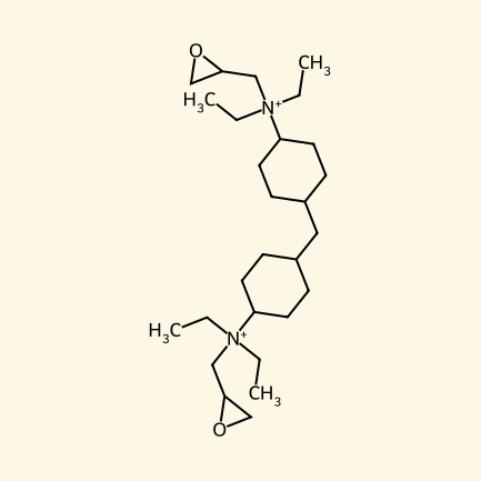 CC[N+](CC)(CC1CO1)C1CCC(CC2CCC([N+](CC)(CC)CC3CO3)CC2)CC1